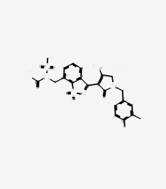 CCC(=O)N(Cc1cccc2c1S(=O)(=O)N=C2C1=C(O)[C@H](C(C)(C)C)N(Cc2ccc(F)c(C)c2)C1=O)S(C)(=O)=O